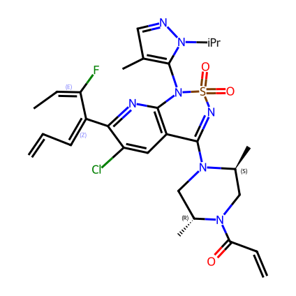 C=C/C=C(\C(F)=C/C)c1nc2c(cc1Cl)C(N1C[C@@H](C)N(C(=O)C=C)C[C@@H]1C)=NS(=O)(=O)N2c1c(C)cnn1C(C)C